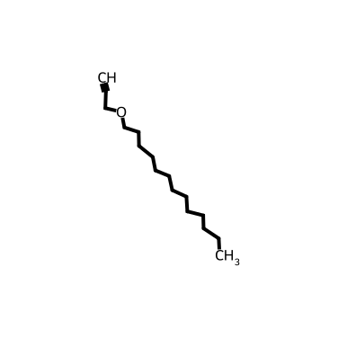 C#CCOCCCCCCCCCCCCC